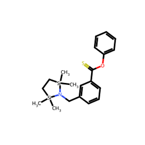 C[Si]1(C)CC[Si](C)(C)N1Cc1cccc(C(=S)Oc2ccccc2)c1